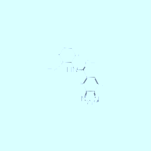 C=C(NC1CCCCC1C)c1ccc2nonc2c1